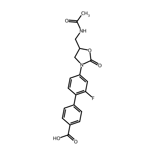 CC(=O)NCC1CN(c2ccc(-c3ccc(C(=O)O)cc3)c(F)c2)C(=O)O1